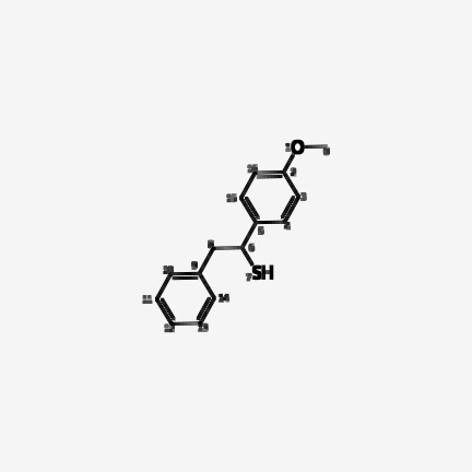 COc1ccc(C(S)Cc2ccccc2)cc1